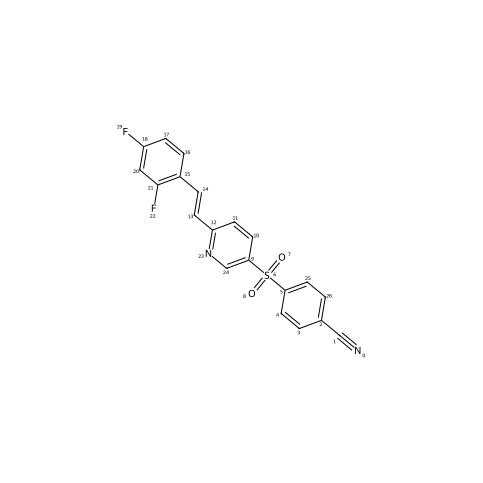 N#Cc1ccc(S(=O)(=O)c2ccc(C=Cc3ccc(F)cc3F)nc2)cc1